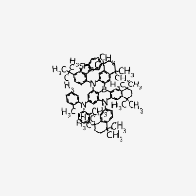 Cc1ccccc1N(c1cc2c3c(c1)N(c1ccc(C(C)(C)C)c4sc5ccccc5c14)c1cc4c(cc1B3c1cc3c(cc1N2c1ccc2c(c1)C(C)(C)CCC2(C)C)C(C)(C)CCC3(C)C)C(C)(C)CCC4(C)C)c1ccccc1C